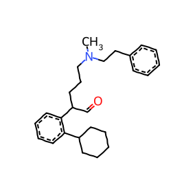 CN(CCCC(C=O)c1ccccc1C1CCCCC1)CCc1ccccc1